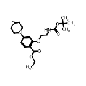 CCOC(=O)c1ccc(N2CCOCC2)cc1OCCNC(=O)OC(C)(C)C